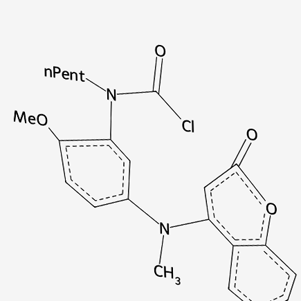 CCCCCN(C(=O)Cl)c1cc(N(C)c2cc(=O)oc3ccccc23)ccc1OC